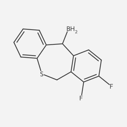 BC1c2ccccc2SCc2c1ccc(F)c2F